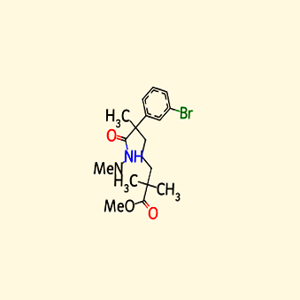 CNNC(=O)C(C)(CCCC(C)(C)C(=O)OC)c1cccc(Br)c1